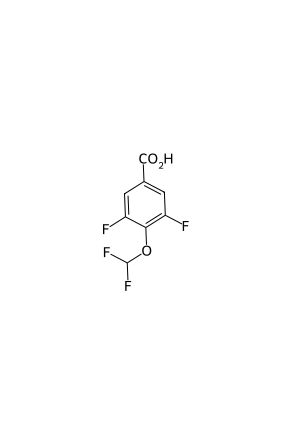 O=C(O)c1cc(F)c(OC(F)F)c(F)c1